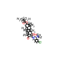 CC(=O)N(C)CCN(Cc1ccc(Cl)cc1)C[C@@H](O)[C@@]12CC[C@]3(C)[C@H](CCC4[C@@]5(C)CC[C@H](OC(=O)CC(C)(C)C(=O)O)C(C)(C)[C@@H]5CC[C@]43C)C1=C(C(C)C)C(=O)C2